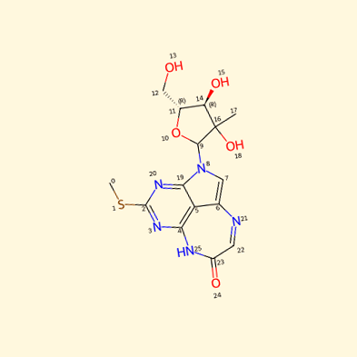 CSc1nc2c3c(cn(C4O[C@H](CO)[C@@H](O)C4(C)O)c3n1)N=CC(=O)N2